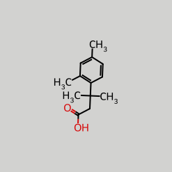 Cc1ccc(C(C)(C)CC(=O)O)c(C)c1